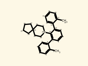 Cc1ccccc1-c1cccc(-c2ccccc2C)c1P1CCC2(CCCC2)CC1